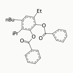 CCCCc1cc(CC)c(OC(=O)c2ccccc2)c(OC(=O)c2ccccc2)c1C(C)C